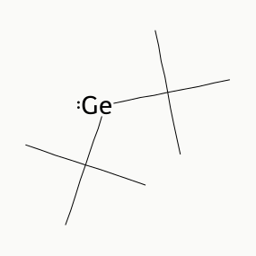 C[C](C)(C)[Ge][C](C)(C)C